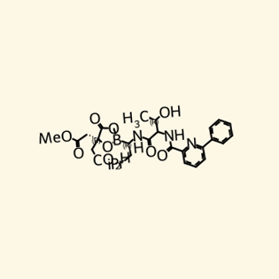 COC(=O)C[C@@]1(CC(=O)O)OB([C@H](CC(C)C)NC(=O)C(NC(=O)c2cccc(-c3ccccc3)n2)[C@@H](C)O)OC1=O